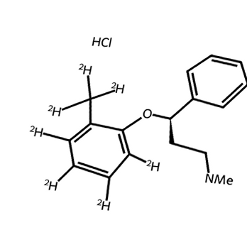 Cl.[2H]c1c([2H])c([2H])c(C([2H])([2H])[2H])c(O[C@H](CCNC)c2ccccc2)c1[2H]